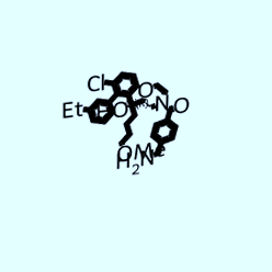 CCc1cccc(-c2c(Cl)cccc2[C@](O)(CCCCOC)[C@H]2CN(C(=O)c3ccc(CN)cc3)CCO2)c1